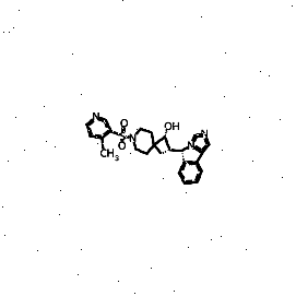 Cc1ccncc1S(=O)(=O)N1CCC2(CC1)C[C@@H]([C@H]1c3ccccc3-c3cncn31)[C@H]2O